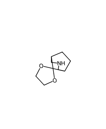 C1COC2(O1)C1CCC2CNC1